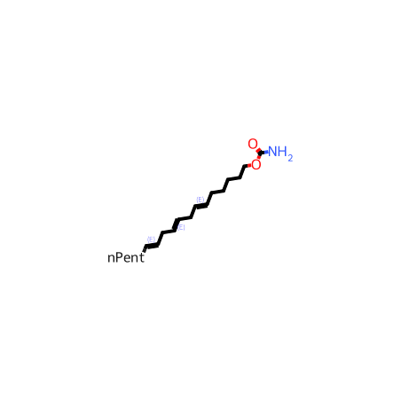 CCCCC/C=C/C/C=C/C/C=C/CCCCCOC(N)=O